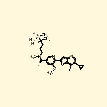 COc1cc(C(=O)N(C)CCCC(C)(C)[Si](C)(C)O)cnc1-c1cc2ncc(C3CC3)c(Cl)c2o1